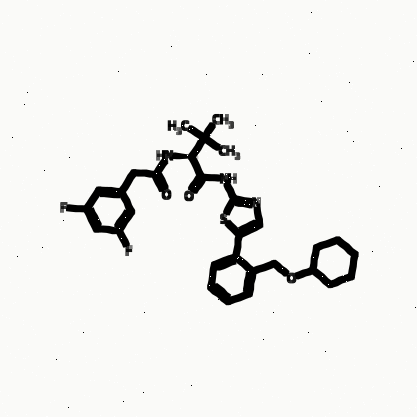 CC(C)(C)[C@H](NC(=O)Cc1cc(F)cc(F)c1)C(=O)Nc1ncc(-c2ccccc2COC2CCCCC2)s1